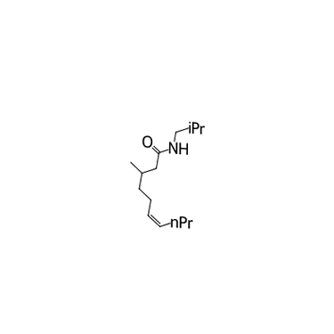 CCC/C=C\CCC(C)CC(=O)NCC(C)C